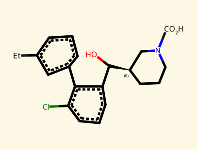 CCc1cccc(-c2c(Cl)cccc2C(O)[C@@H]2CCCN(C(=O)O)C2)c1